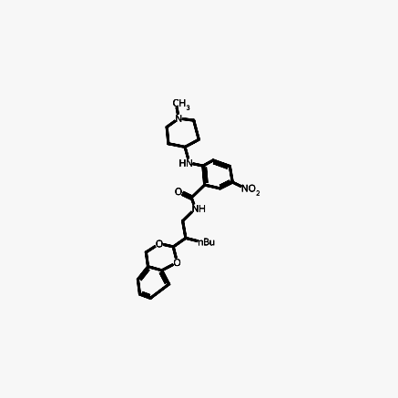 CCCCC(CNC(=O)c1cc([N+](=O)[O-])ccc1NC1CCN(C)CC1)C1OCc2ccccc2O1